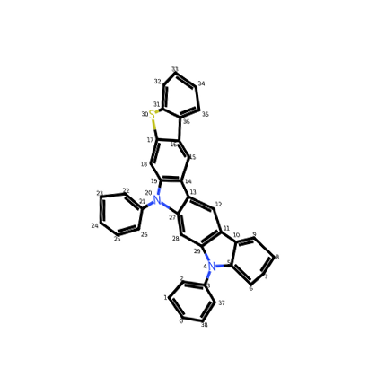 c1ccc(-n2c3ccccc3c3cc4c5cc6c(cc5n(-c5ccccc5)c4cc32)sc2ccccc26)cc1